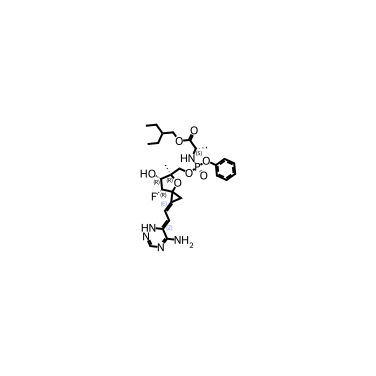 CCC(CC)COC(=O)[C@H](C)NP(=O)(OC[C@@]1(C)OC2(C/C2=C\C=C2/NN=CN=C2N)[C@H](F)[C@@H]1O)Oc1ccccc1